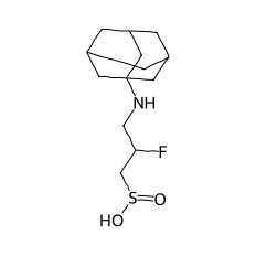 O=S(O)CC(F)CNC12CC3CC(CC(C3)C1)C2